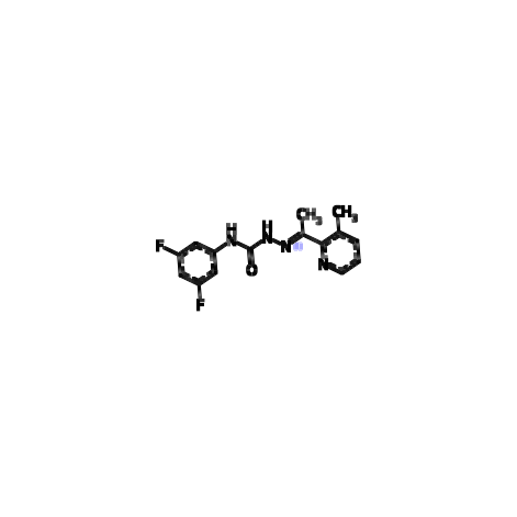 C/C(=N\NC(=O)Nc1cc(F)cc(F)c1)c1ncccc1C